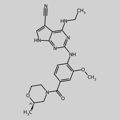 CCNc1nc(Nc2ccc(C(=O)N3CCO[C@H](C)C3)cc2OC)nc2[nH]cc(C#N)c12